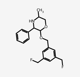 CC1COC(OCc2cc(CF)cc(CF)c2)C(c2ccccc2)N1